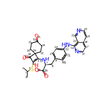 CC(C)SC1=C(N[C@@H](Cc2ccc(Nc3nccc4ccncc34)cc2)C(=O)O)C2(CCC(=O)CC2)C1=O